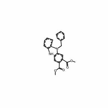 COC(=O)c1ccc(N(Cc2ccccc2)c2ccccc2N)cc1C(=O)OC